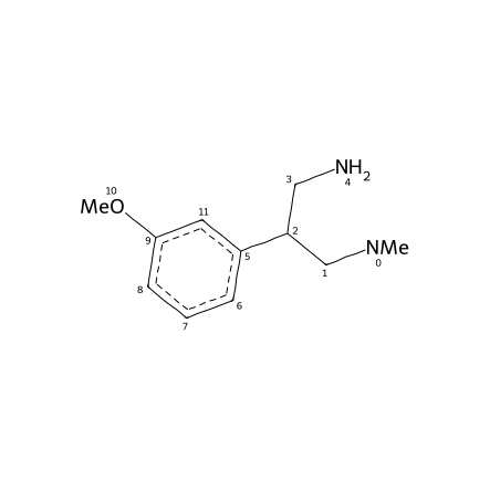 CNCC(CN)c1cccc(OC)c1